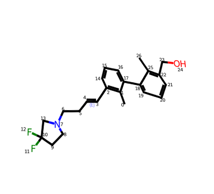 Cc1c(/C=C/CCN2CCC(F)(F)C2)cccc1-c1cccc(CO)c1C